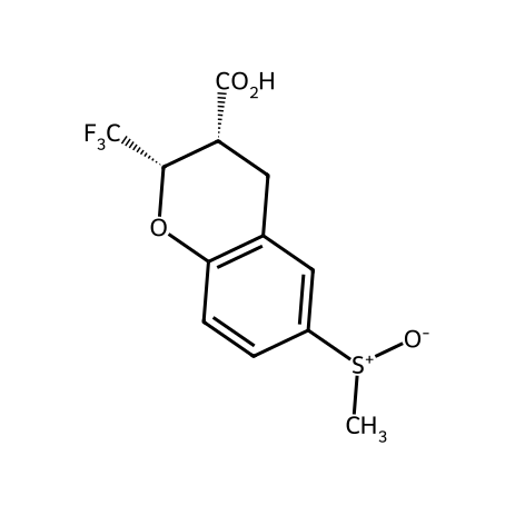 C[S+]([O-])c1ccc2c(c1)C[C@@H](C(=O)O)[C@@H](C(F)(F)F)O2